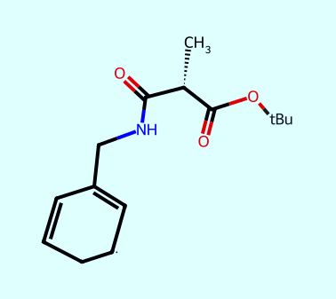 C[C@@H](C(=O)NCC1=C[CH]CC=C1)C(=O)OC(C)(C)C